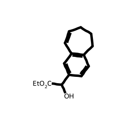 CCOC(=O)C(O)c1ccc2c(c1)C=CCCC2